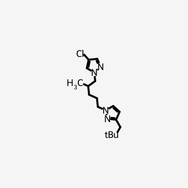 CC(CCCn1ccc(CC(C)(C)C)n1)Cn1cc(Cl)cn1